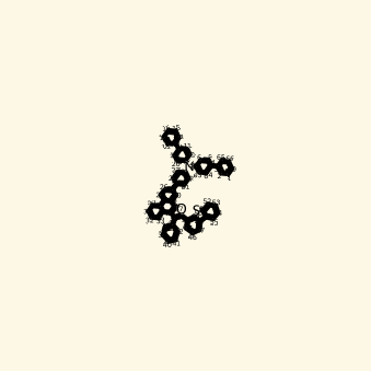 c1ccc(-c2ccc(N(c3ccc(-c4ccccc4)cc3)c3ccc(-c4ccc5c6ccccc6c6c(-c7ccccc7)c(-c7cccc8c7sc7ccccc78)oc6c5c4)cc3)cc2)cc1